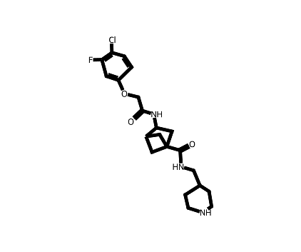 O=C(COc1ccc(Cl)c(F)c1)NC1CC2(C(=O)NCC3CCNCC3)CC1C2